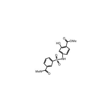 CNC(=O)c1cccc(S(=O)(=O)Nc2ccc(C(=O)OC)c(O)c2)c1